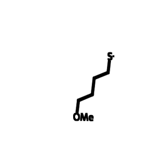 COCCCC[S]